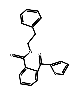 O=C(OCCc1ccccc1)c1ccccc1C(=O)c1cccs1